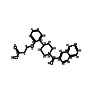 O=C(O)CCOc1ccccc1C1CCN(C(=O)c2ccc3ccccc3c2)CC1